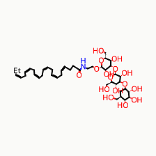 CC/C=C\C/C=C\C/C=C\C/C=C\C/C=C\C/C=C\CCC(=O)NCCO[C@@H]1O[C@H](CO)[C@@H](O)[C@H](O[C@@H]2O[C@H](CO)[C@@H](O)[C@H](O[C@@H]3C[C@H](CO)[C@@H](O)[C@H](O)[C@H]3O)[C@H]2O)[C@H]1O